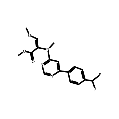 COC=C(C(=O)OC)N(C)c1cc(-c2ccc(C(F)F)cc2)ncn1